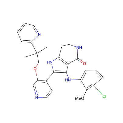 COc1c(Cl)cccc1Nc1c(-c2ccncc2OCC(C)(C)c2ccccn2)[nH]c2c1C(=O)NCC2